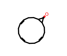 O=C1C2CCC=CCCC=CCCC=CCCC12